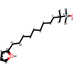 CC(C)(CCCCCCCCCc1ccco1)[Si](C)(C)O